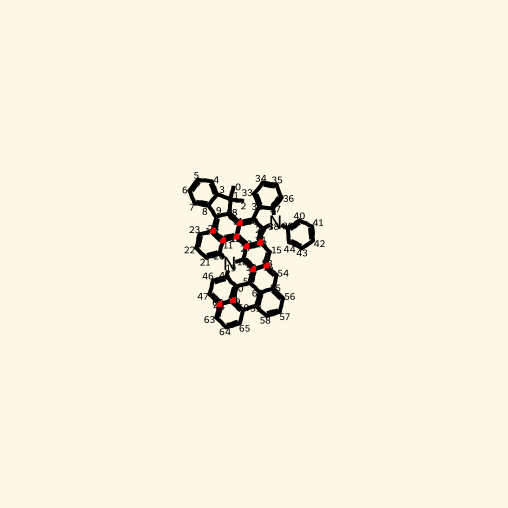 CC1(C)c2ccccc2-c2ccc(-c3ccccc3N(c3ccccc3-c3ccc4c(c3)c3ccccc3n4-c3ccccc3)c3ccccc3-c3cccc4cccc(-c5ccccc5)c34)cc21